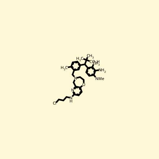 CNc1ccc(C(c2ccc(C)c(CN3CCOc4ccc(NCCCCl)nc4C3)c2)C(C)(C)C(=O)O)c(C)c1N